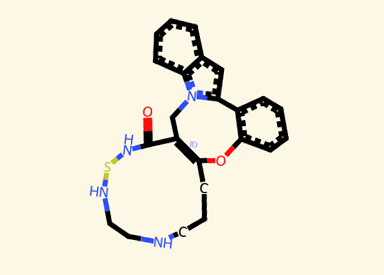 O=C1NSNCCNCCC/C2=C\1Cn1c(cc3ccccc31)-c1ccccc1O2